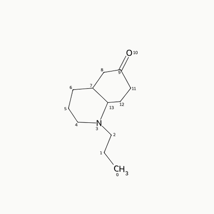 CCCN1CCCC2CC(=O)CCC21